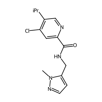 CC(C)c1cnc(C(=O)NCc2ccnn2C)cc1Cl